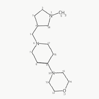 CN1CCC(CN2CCC(N3CCOCC3)CC2)C1